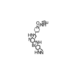 CC(C)(C)NC(=O)N1CC=C(c2cc3c(Nc4ccc5[nH]ncc5c4)c(Br)cnc3[nH]2)CC1